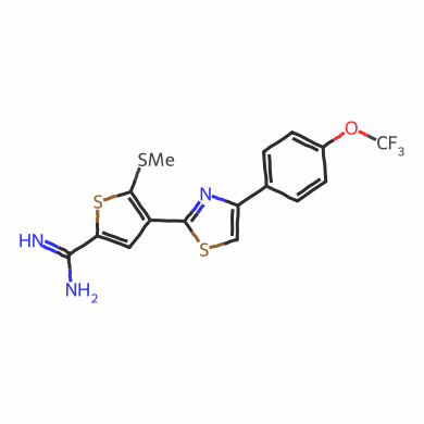 CSc1sc(C(=N)N)cc1-c1nc(-c2ccc(OC(F)(F)F)cc2)cs1